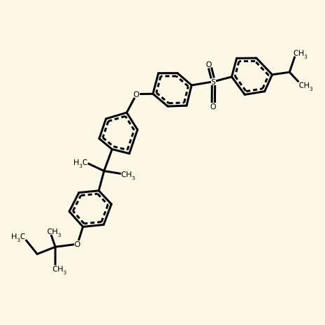 CCC(C)(C)Oc1ccc(C(C)(C)c2ccc(Oc3ccc(S(=O)(=O)c4ccc(C(C)C)cc4)cc3)cc2)cc1